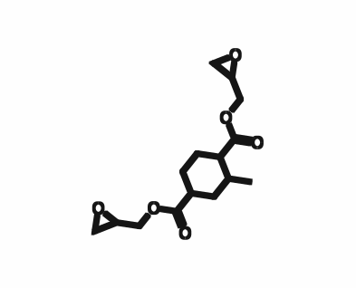 CC1CC(C(=O)OCC2CO2)CCC1C(=O)OCC1CO1